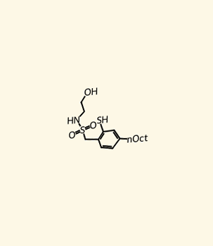 CCCCCCCCc1ccc(CS(=O)(=O)NCCO)c(S)c1